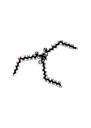 CCCCCCCC/C=C\CCCCCCCC(=O)OCC(CC)(COC(=O)CCCCCCC/C=C\CCCCCCCC)COC(=O)CCCCCCC/C=C\CCCCCCCC